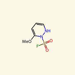 COC1=CC=CNN1S(=O)(=O)F